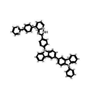 C1=CN2NC(c3ccc(-n4c5ccccc5c5cc(-c6ccc7c(c6)c6ccccc6n7-c6ccccc6)ccc54)cc3)N=C2C(c2ccc(-c3ncccn3)cc2)=C1